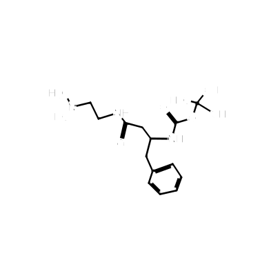 CN(C)CCNC(=O)CC(Cc1ccccc1)NC(=O)OC(C)(C)C